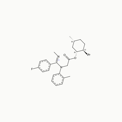 C/N=C(\c1ccc(F)cc1)N(CC(=O)O[C@@H]1C[C@H](C)CC[C@H]1C(C)C)c1ccccc1C